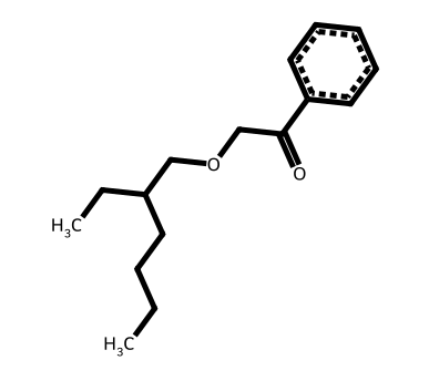 CCCCC(CC)COCC(=O)c1ccccc1